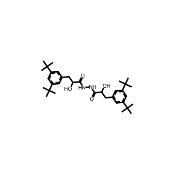 CC(C)(C)c1cc(CC(O)C(=O)NNC(=O)C(O)Cc2cc(C(C)(C)C)cc(C(C)(C)C)c2)cc(C(C)(C)C)c1